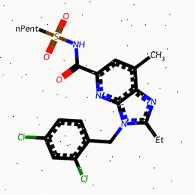 CCCCCS(=O)(=O)NC(=O)c1cc(C)c2nc(CC)n(Cc3ccc(Cl)cc3Cl)c2n1